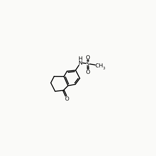 CS(=O)(=O)Nc1ccc2c(c1)CCCC2=O